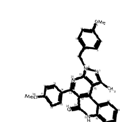 COc1ccc(Cn2nc(C)c3c4c(c(-c5ccc(OC)cc5)nc32)c(=O)[nH]c2ccccc24)cc1